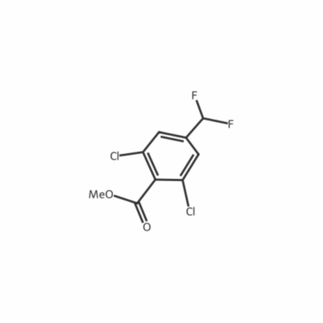 COC(=O)c1c(Cl)cc(C(F)F)cc1Cl